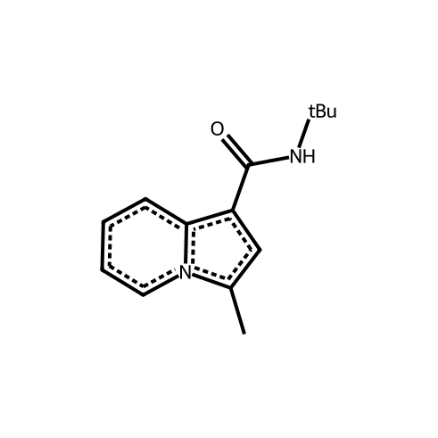 Cc1cc(C(=O)NC(C)(C)C)c2ccccn12